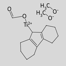 C[O-].C[O-].O=C[O][Ti+2][CH]1C2=C(CCCC2)C2=C1CCCC2